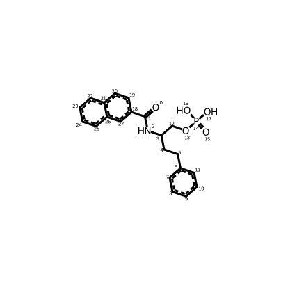 O=C(NC(CCc1ccccc1)COP(=O)(O)O)c1ccc2ccccc2c1